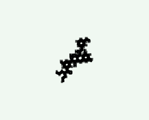 CCCN(CCC)C(=O)c1cc(C)cc(C(=O)NC(Cc2cc(F)cc(F)c2)C(O)CNCc2cc(CC)ccn2)c1